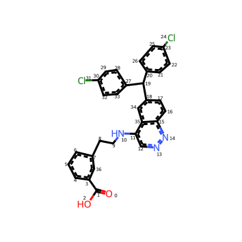 O=C(O)c1cccc(CCNc2cnnc3ccc(C(c4ccc(Cl)cc4)c4ccc(Cl)cc4)cc23)c1